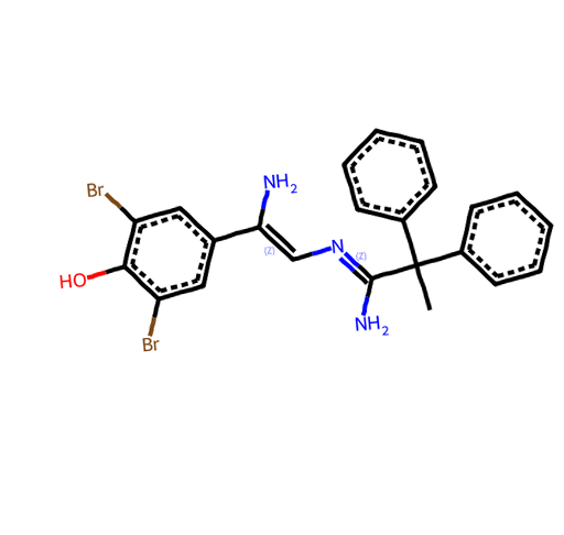 CC(/C(N)=N/C=C(\N)c1cc(Br)c(O)c(Br)c1)(c1ccccc1)c1ccccc1